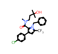 CN(CCC(C)(C)O)C(=O)c1c(-c2ccc(Cl)cc2)cc(C(F)(F)F)n1Cc1ccccc1